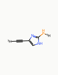 [3H]C#Cc1c[nH]c(P[3H])n1